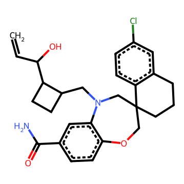 C=CC(O)C1CCC1CN1CC2(CCCc3cc(Cl)ccc32)COc2ccc(C(N)=O)cc21